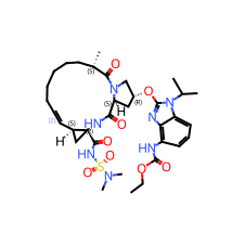 CCOC(=O)Nc1cccc2c1nc(O[C@@H]1C[C@H]3C(=O)N[C@]4(C(=O)NS(=O)(=O)N(C)C)C[C@H]4/C=C\CCCCC[C@H](C)C(=O)N3C1)n2C(C)C